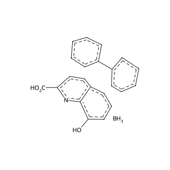 B.O=C(O)c1ccc2cccc(O)c2n1.c1ccc(-c2ccccc2)cc1